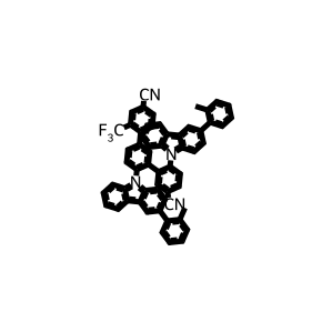 Cc1ccccc1-c1ccc2c(c1)c1ccccc1n2-c1ccc(C#N)cc1-c1cc(-c2ccc(C#N)cc2C(F)(F)F)ccc1-n1c2ccccc2c2cc(-c3ccccc3C)ccc21